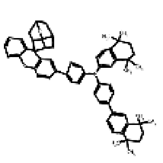 CC1(C)CCC(C)(C)c2cc(-c3ccc(N(c4ccc(-c5ccc6c(c5)C5(c7ccccc7S6)C6CC7CC8CC5C86C7)cc4)c4ccc5c(c4)C(C)(C)CCC5(C)C)cc3)ccc21